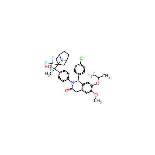 COc1cc2c(cc1OC(C)C)C(c1ccc(Cl)cc1)N(c1ccc([C@@](C)(O)C3CC4CCC(C3)N4CC(F)(F)F)cc1)C(=O)C2